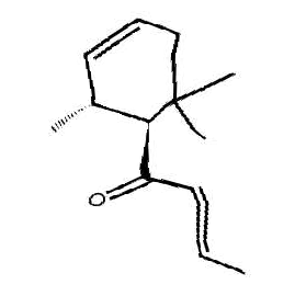 CC=CC(=O)[C@H]1[C@H](C)C=CCC1(C)C